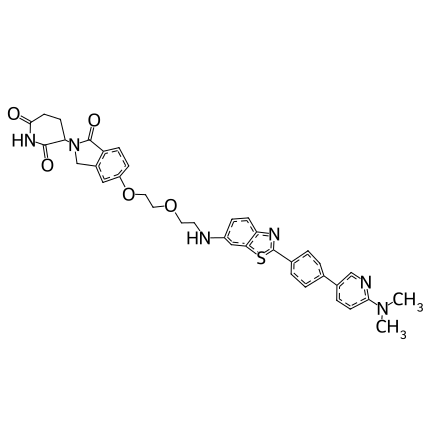 CN(C)c1ccc(-c2ccc(-c3nc4ccc(NCCOCCOc5ccc6c(c5)CN(C5CCC(=O)NC5=O)C6=O)cc4s3)cc2)cn1